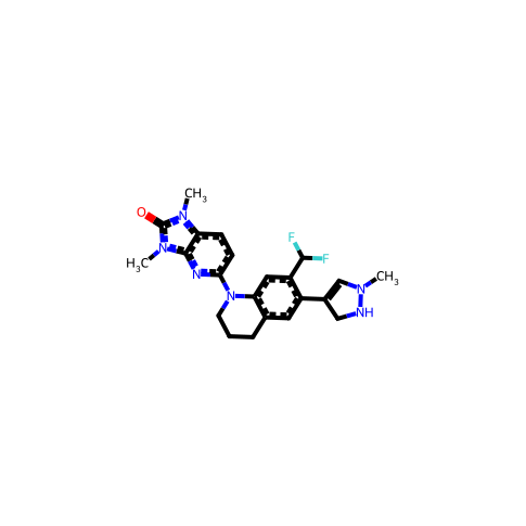 CN1C=C(c2cc3c(cc2C(F)F)N(c2ccc4c(n2)n(C)c(=O)n4C)CCC3)CN1